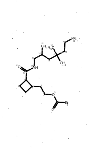 CCC(=O)OCCC1CCC1C(=O)NCC(C)CC(C)(C)CCN